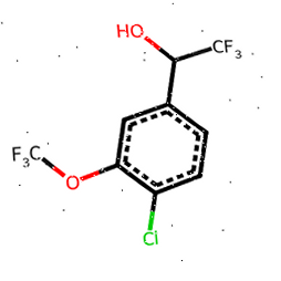 OC(c1ccc(Cl)c(OC(F)(F)F)c1)C(F)(F)F